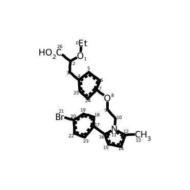 CCOC(Cc1ccc(OCCn2c(C)ccc2-c2ccc(Br)cc2)cc1)C(=O)O